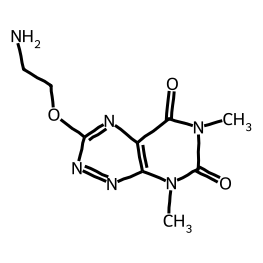 Cn1c(=O)c2nc(OCCN)nnc2n(C)c1=O